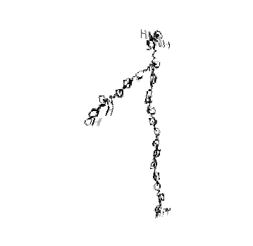 CCCOCCOCCOCCOCCOCCOCCOCCOCCOCCOCCOCCOCCN(CCCOCCOCCOCCCNC(=O)C=Cc1ccc(O)cc1)C(=O)CCCCC1SCC2NC(=O)NC21